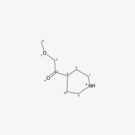 COCC(=O)C1CCNCC1